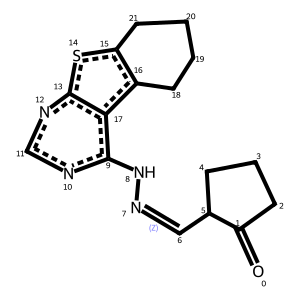 O=C1CCCC1/C=N\Nc1ncnc2sc3c(c12)CCCC3